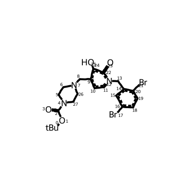 CC(C)(C)OC(=O)N1CCN(Cc2ccn(Cc3cc(Br)ccc3Br)c(=O)c2O)CC1